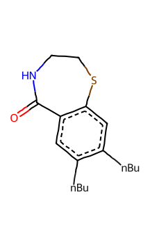 CCCCc1cc2c(cc1CCCC)C(=O)NCCS2